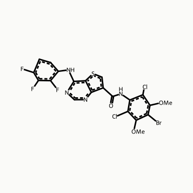 COc1c(Cl)c(NC(=O)c2csc3c(Nc4ccc(F)c(F)c4F)ncnc23)c(Cl)c(OC)c1Br